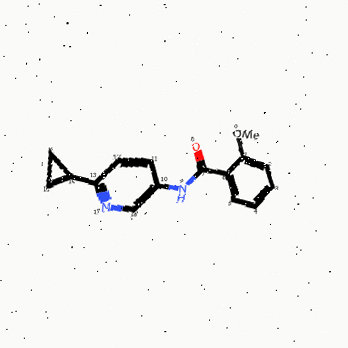 COc1ccccc1C(=O)Nc1ccc(C2CC2)nc1